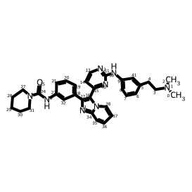 CN(C)CCc1cccc(Nc2nccc(-c3c(-c4cccc(NC(=O)N5CCCCC5)c4)nc4ccccn34)n2)c1